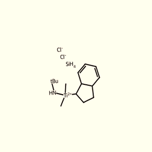 CC(C)(C)[NH][Ti+2]([CH3])([CH3])[CH]1CCC2C=CC=CC21.[Cl-].[Cl-].[SiH4]